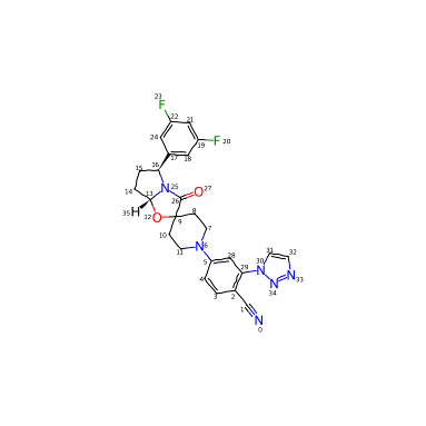 N#Cc1ccc(N2CCC3(CC2)O[C@@H]2CC[C@@H](c4cc(F)cc(F)c4)N2C3=O)cc1-n1ccnn1